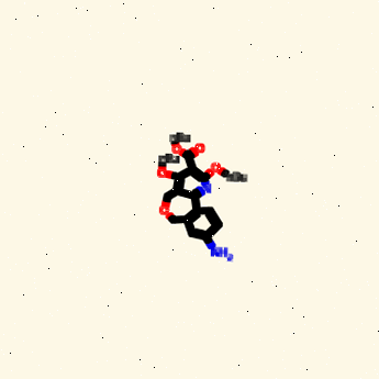 CCCCOC(=O)c1c(OCCCC)nc2c(c1OCCCC)COCc1cc(N)ccc1-2